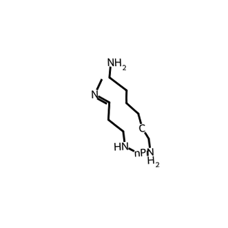 CCCNCCC=NC.NCCCCCCN